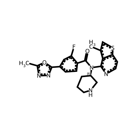 Cc1nnc(-c2ccc(C(=O)N(c3nccc4scc(C)c34)[C@@H]3CCCNC3)c(F)c2)o1